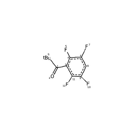 CC(C)(C)C(=O)c1c(F)c(F)cc(F)c1F